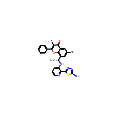 Cc1cc([C@@H](C)Nc2cccnc2-c2nnc(N)s2)c2oc(-c3ccccc3)c(C)c(=O)c2c1